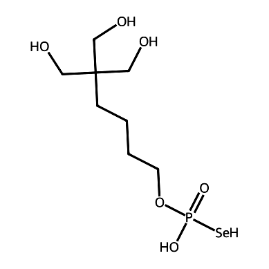 O=P(O)([SeH])OCCCCC(CO)(CO)CO